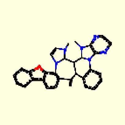 C=C1c2ccc3c(oc4ccccc43)c2N2C=CN(C)C2C2C1c1ccccc1N1c3nccnc3N(C)C21